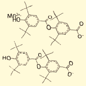 CC(C)(C)c1cc(C(=O)Oc2c(C(C)(C)C)cc(C(=O)[O-])cc2C(C)(C)C)cc(C(C)(C)C)c1O.CC(C)(C)c1cc(C(=O)Oc2c(C(C)(C)C)cc(C(=O)[O-])cc2C(C)(C)C)cc(C(C)(C)C)c1O.[Mn+2]